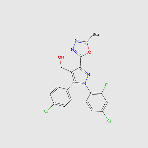 CC(C)(C)c1nnc(-c2nn(-c3ccc(Cl)cc3Cl)c(-c3ccc(Cl)cc3)c2CO)o1